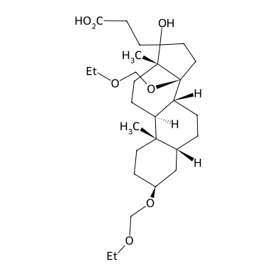 CCOCO[C@H]1CC[C@@]2(C)[C@H](CC[C@@H]3[C@@H]2CC[C@]2(C)C(O)(CCC(=O)O)CC[C@]32OCOCC)C1